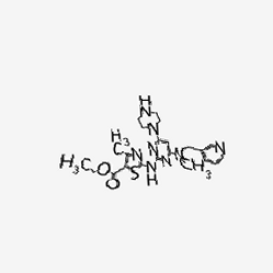 CCOC(=O)c1sc(Nc2nc(N(C)Cc3cccnc3)cc(N3CCNCC3)n2)nc1C